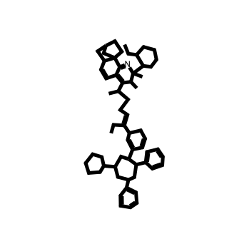 CC/C(=C\CCC(C)C1=C2C=CC3CC4CCC3(C4)C2=NC(C)(C2CCCCC2CC)C1C)C1C=C(C2CC(C3CCCCC3)CC(c3ccccc3)CC2c2ccccc2)C=CC1